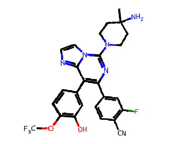 CC1(N)CCN(c2nc(-c3ccc(C#N)c(F)c3)c(-c3ccc(OC(F)(F)F)c(O)c3)c3nccn23)CC1